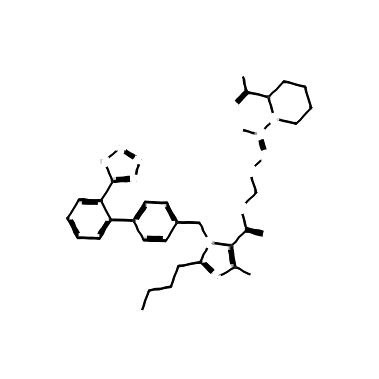 CCCCc1nc(Cl)c(C(=O)OCO/N=[N+](\[O-])N2CCCCC2C(=O)O)n1Cc1ccc(-c2ccccc2-c2nnn[nH]2)cc1